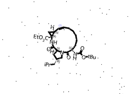 CCOC(=O)[C@@]12C[C@H]1/C=C\CCCCC[C@H](NC(=O)OC(C)(C)C)C(=O)N1C[C@H](CC(C)C)C[C@H]1C(=O)N2